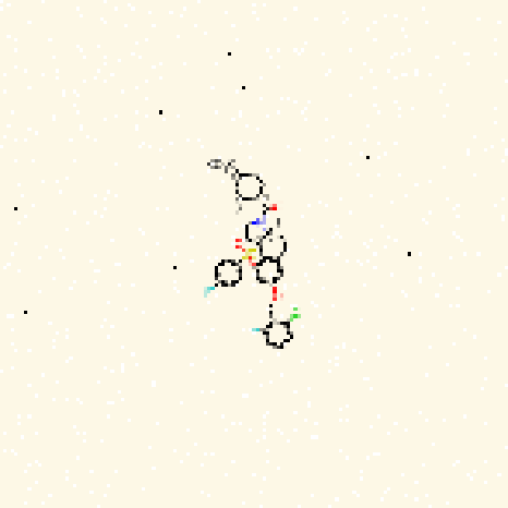 C[C@@H]1C[C@@H](C(=O)O)CC[C@@H]1C(=O)N1CC[C@@]2(S(=O)(=O)c3ccc(F)cc3)c3ccc(OCc4c(F)cccc4Cl)cc3CC[C@@H]12